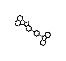 c1cc2c3c(cccc3c1)-c1c-2sc2cc(-c3ccc(-n4c5ccccc5c5ccccc54)cc3)ccc12